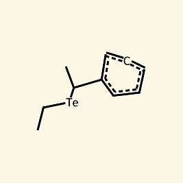 CC[Te]C(C)c1ccccc1